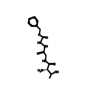 CC(O)[C@H](N)C(=O)NCC(=O)NNC(=O)OCc1ccccc1